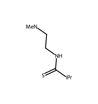 CNCCNC(=S)C(C)C